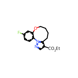 CCOC(=O)c1cnn2c1CCCCOc1cc(F)ccc1-2